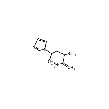 C=C(N)C(C)CC(C)n1ccnc1